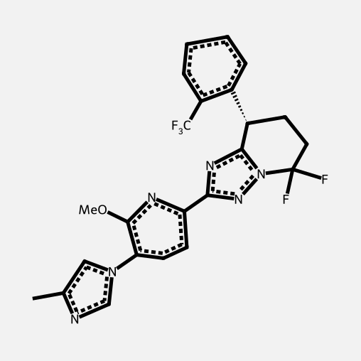 COc1nc(-c2nc3n(n2)C(F)(F)CC[C@H]3c2ccccc2C(F)(F)F)ccc1-n1cnc(C)c1